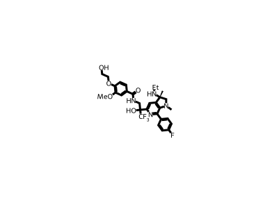 CCN[C@]1(C)CN(C)c2c1cc(C(O)(CNC(=O)c1ccc(OCCO)c(OC)c1)C(F)(F)F)nc2-c1ccc(F)cc1